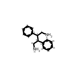 NCC(c1ccccc1)C(CN)c1ccccc1